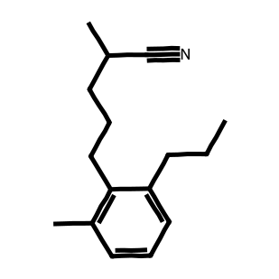 CCCc1cccc(C)c1CCCC(C)C#N